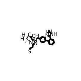 CC(C)(C)c1nc(CC=S)nn1Cc1ccc(-c2ccccc2-c2nnn[nH]2)cc1